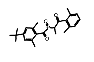 Cc1cccc(C)c1C(=O)C(C)[P](=O)C(=O)c1c(C)cc(C(C)(C)C)cc1C